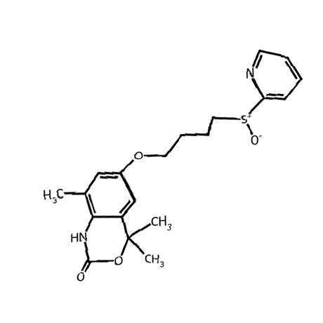 Cc1cc(OCCCC[S+]([O-])c2ccccn2)cc2c1NC(=O)OC2(C)C